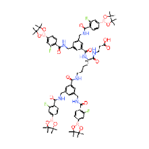 CC1(C)OB(c2ccc(C(=O)NCc3cc(CNC(=O)c4ccc(B5OC(C)(C)C(C)(C)O5)cc4F)cc(C(=O)NCCCC[C@H](NC(=O)c4cc(CNC(=O)c5ccc(B6OC(C)(C)C(C)(C)O6)cc5F)cc(CNC(=O)c5ccc(B6OC(C)(C)C(C)(C)O6)cc5F)c4)C(=O)NCCC(=O)O)c3)c(F)c2)OC1(C)C